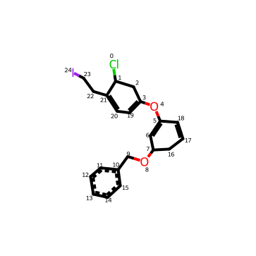 ClC1CC(OC2=CC(OCc3ccccc3)CC=C2)=CC=C1CCI